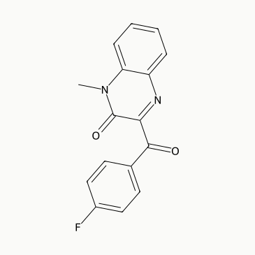 Cn1c(=O)c(C(=O)c2ccc(F)cc2)nc2ccccc21